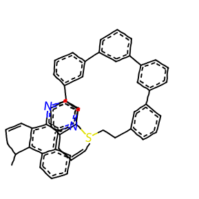 C/C=C\Cc1ccccc1SCCc1cccc(-c2cccc(-c3cccc(-c4cccc(-c5cnc6c(n5)c5c(c7ccccc76)C(C)CC=C5)c4)c3)c2)c1